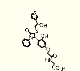 O=C(O)CNC(=O)COc1ccc([C@@H]2[C@@H](SC[C@H](O)c3ccsc3)C(=O)N2c2ccccc2)c(O)c1